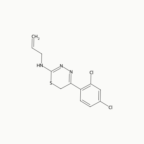 C=CCNC1=NN=C(c2ccc(Cl)cc2Cl)CS1